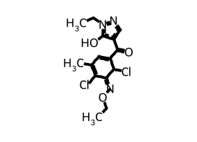 CCON=C1C(Cl)=C(C)C=C(C(=O)c2cnn(CC)c2O)C1Cl